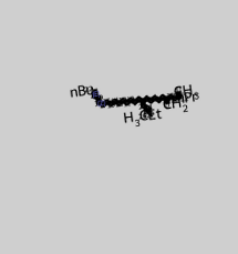 C=C(CCCCCC(CCCCCCCCC/C=C\C/C=C/CCCC)CCN(C)CC)CCC(C)C(C)C